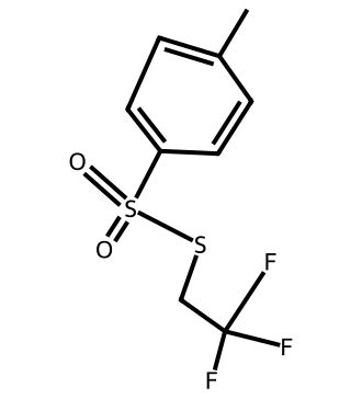 Cc1ccc(S(=O)(=O)SCC(F)(F)F)cc1